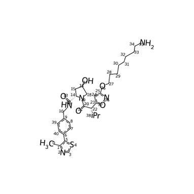 Cc1ncsc1-c1ccc(CNC(=O)[C@@H]2C[C@@H](O)CN2C(=O)[C@H](c2cc(OCCCCCCCCN)no2)C(C)C)cc1